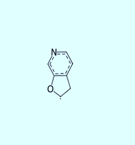 [CH]1Cc2ccncc2O1